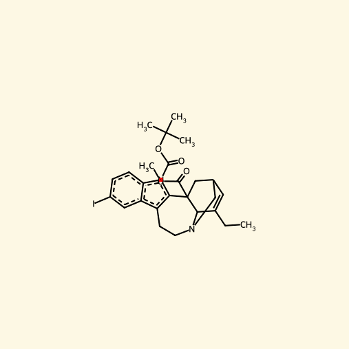 CCC1=CC2CN3CCc4c(n(C(=O)OC(C)(C)C)c5ccc(I)cc45)C(C(=O)OC)(C2)C13